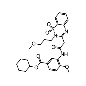 COCCCN1C(CC(=O)Nc2cc(C(=O)OC3CCCCC3)ccc2OC)=Nc2ccccc2S1(=O)=O